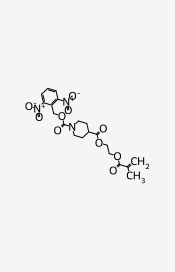 C=C(C)C(=O)OCCOC(=O)C1CCN(C(=O)OCc2c([N+](=O)[O-])cccc2[N+](=O)[O-])CC1